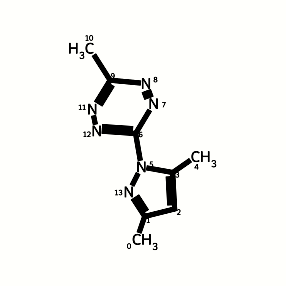 Cc1cc(C)n(-c2nnc(C)nn2)n1